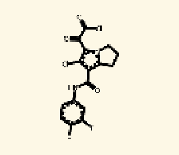 O=C(Cl)C(=O)c1c(Cl)c(C(=O)Nc2ccc(F)c(F)c2)c2n1CCC2